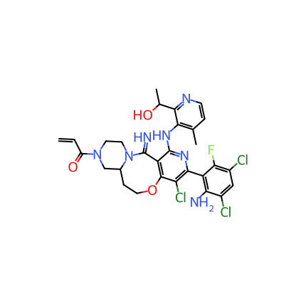 C=CC(=O)N1CCN2C(=N)c3c(Nc4c(C)ccnc4C(C)O)nc(-c4c(N)c(Cl)cc(Cl)c4F)c(Cl)c3OCCC2C1